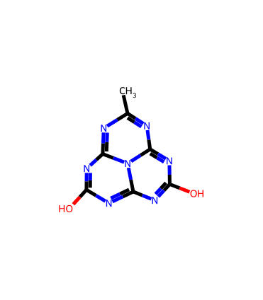 CC1=NC2=NC(O)=NC3=NC(O)=NC(=N1)N23